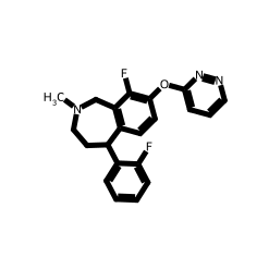 CN1CCC(c2ccccc2F)c2ccc(Oc3cccnn3)c(F)c2C1